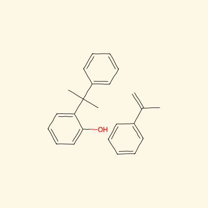 C=C(C)c1ccccc1.CC(C)(c1ccccc1)c1ccccc1O